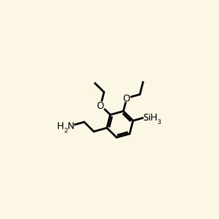 CCOc1c([SiH3])ccc(CCN)c1OCC